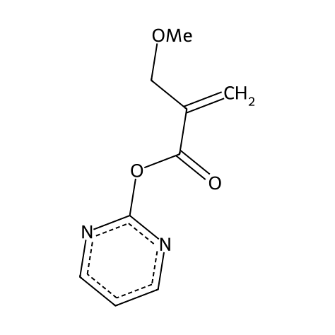 C=C(COC)C(=O)Oc1ncccn1